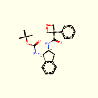 CC(C)(C)OC(=O)N[C@H]1c2ccccc2C[C@@H]1NC(=O)C1(c2ccccc2)COC1